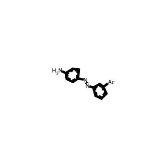 CC(=O)c1cccc(N=Nc2ccc(N)cc2)c1